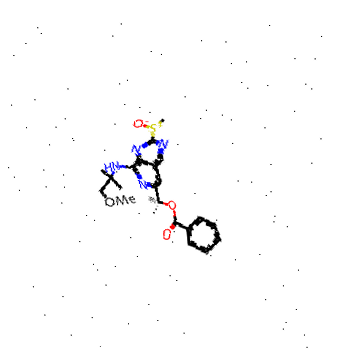 COCC(C)(C)Nc1nc([C@@H](C)OC(=O)c2ccccc2)cc2cnc([S+](C)[O-])nc12